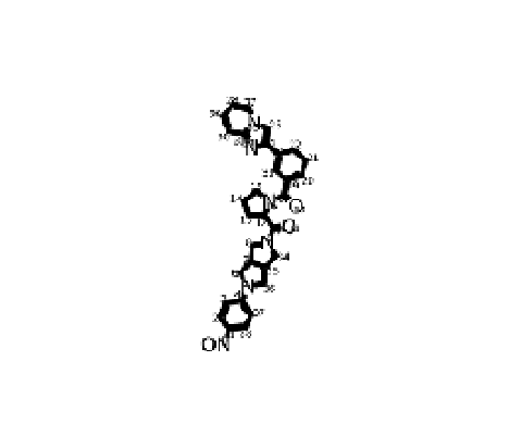 O=Nc1ccc(N2CC3CN(C(=O)C4CCCN4C(=O)C4=CCCC(c5cn6ccccc6n5)=C4)CC3C2)cc1